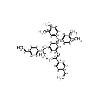 C=Cc1ccc(C(C)Oc2cc(OC(C)c3ccc(C=C)cc3)cc(N(c3ccc(C)c(C)c3)c3ccc(C)c(C)c3)c2)cc1